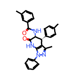 Cc1ccc([C@@H]2c3c(C)nn(-c4ccccc4)c3NC(=O)[C@H]2NC(=O)c2cccc(C)c2)cc1